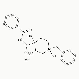 CCOC(=O)C(NC(=O)c1cccnc1)C1(N=O)CC[N+](S)(Cc2ccccc2)CC1.[Cl-]